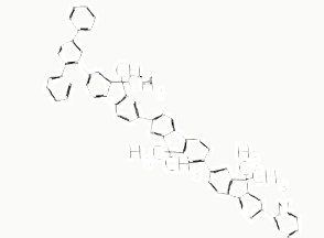 CC1(C)c2cc(-c3ccc4c(c3)C(C)(C)c3cc(-c5ccccn5)ccc3-4)ccc2-c2ccc(-c3ccc4c(c3)C(C)(C)c3cc(-c5cc(-c6ccccc6)ccc5-c5ccccc5)ccc3-4)cc21